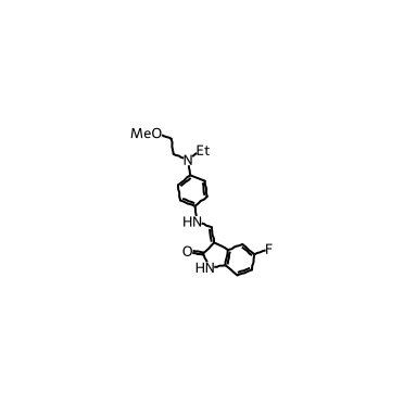 CCN(CCOC)c1ccc(NC=C2C(=O)Nc3ccc(F)cc32)cc1